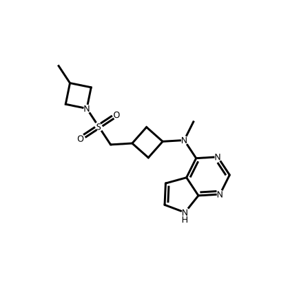 CC1CN(S(=O)(=O)CC2CC(N(C)c3ncnc4[nH]ccc34)C2)C1